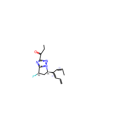 C=C/C=C(\C=C/C)[C@H]1C[C@@H](F)c2nc(C(=O)CC)nn21